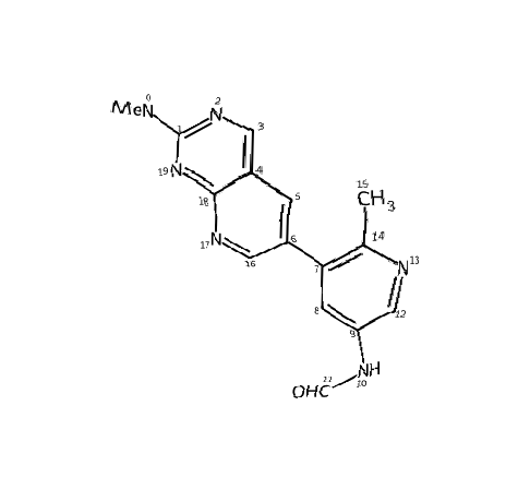 CNc1ncc2cc(-c3cc(NC=O)cnc3C)cnc2n1